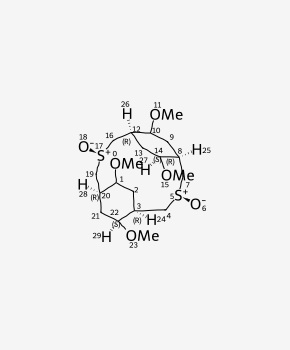 COC1C[C@H]2C[S@+]([O-])C[C@@H]3CC(OC)[C@@H](C[C@@H]3OC)C[S@+]([O-])C[C@@H]1C[C@@H]2OC